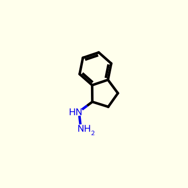 NNC1CCc2ccccc21